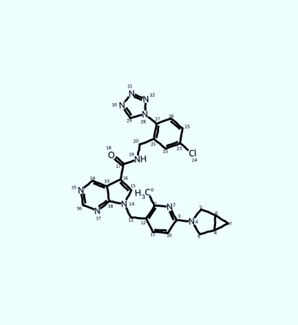 Cc1nc(N2CC3CC3C2)ccc1Cn1cc(C(=O)NCc2cc(Cl)ccc2-n2cnnn2)c2cncnc21